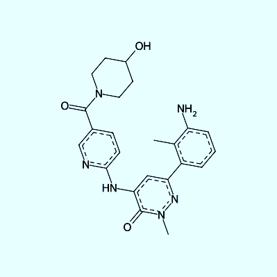 Cc1c(N)cccc1-c1cc(Nc2ccc(C(=O)N3CCC(O)CC3)cn2)c(=O)n(C)n1